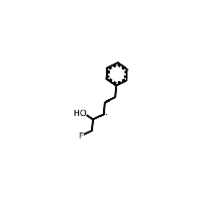 OC([CH]CCc1ccccc1)CF